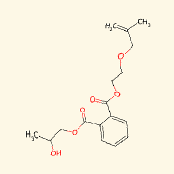 C=C(C)COCCOC(=O)c1ccccc1C(=O)OCC(C)O